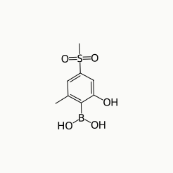 Cc1cc(S(C)(=O)=O)cc(O)c1B(O)O